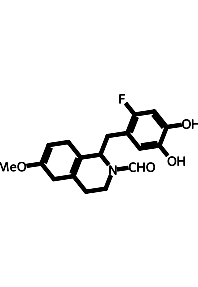 COC1=CCC2=C(CCN(C=O)C2Cc2cc(O)c(O)cc2F)C1